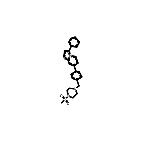 CS(=O)(=O)N1CCN(Cc2ccc(-c3ccn4c(-c5ccccc5)cnc4c3)cc2)CC1